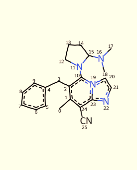 Cc1c(Cc2ccccc2)c(N2CCCC2N(C)C)n2ccnc2c1C#N